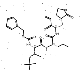 C=CC(=O)[C@H](C[C@@H]1CCNC1=O)NC(=O)[C@H](CCC)NC(=O)[C@@H](NC(=O)OCc1ccccc1)C(C)OC(C)(C)C